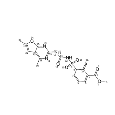 COC(=O)C1=CC=CC(S(=O)(=O)NC(=O)Nc2nc(C)c3cc(C)oc3n2)C1=S